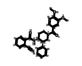 COc1cc(C(=O)N2CC[C@@H](NC(=O)c3ccccc3C#N)[C@@H](c3ccccc3)C2)cnc1OC